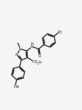 CCc1ccc(C(=O)Nc2c(C(=O)O)c(-c3ccc(C#N)cc3)nn2C)cc1